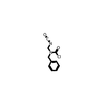 O=C=NCN(Cc1ccccc1)C(=O)Cl